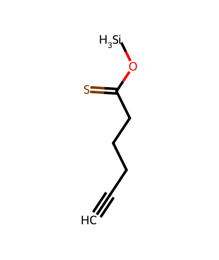 C#CCCCC(=S)O[SiH3]